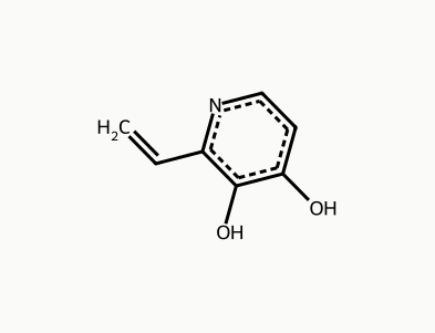 C=Cc1nccc(O)c1O